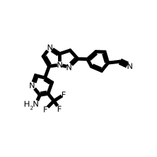 N#Cc1ccc(C2=Nn3c(-c4cnc(N)c(C(F)(F)F)c4)cnc3C2)cc1